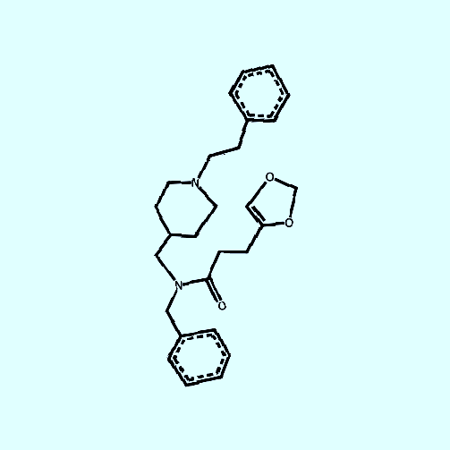 O=C(CCC1=COCO1)N(Cc1ccccc1)CC1CCN(CCc2ccccc2)CC1